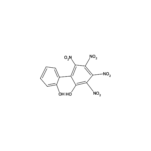 O=[N+]([O-])c1c(O)c(-c2ccccc2O)c([N+](=O)[O-])c([N+](=O)[O-])c1[N+](=O)[O-]